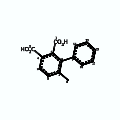 Cc1ccc(C(=O)O)c(C(=O)O)c1-c1ccccc1